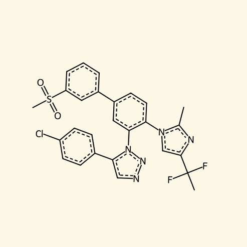 Cc1nc(C(C)(F)F)cn1-c1ccc(-c2cccc(S(C)(=O)=O)c2)cc1-n1nncc1-c1ccc(Cl)cc1